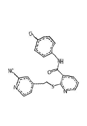 N#Cc1cc(CSc2ncccc2C(=O)Nc2ccc(Cl)cc2)ccn1